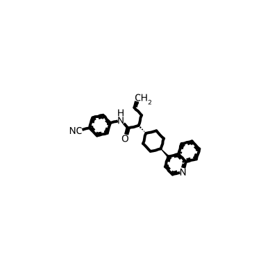 C=CCC(C(=O)Nc1ccc(C#N)cc1)[C@H]1CC[C@H](c2ccnc3ccccc32)CC1